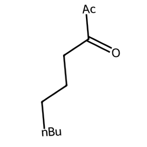 CCCCCCCC(=O)C(C)=O